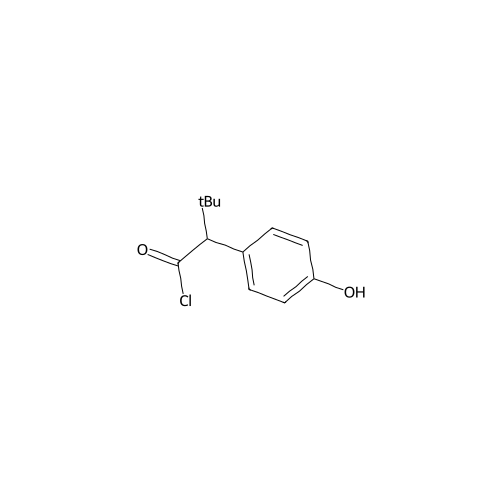 CC(C)(C)C(C(=O)Cl)c1ccc(O)cc1